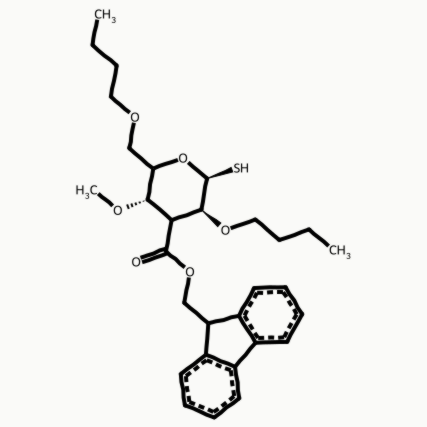 CCCCOCC1O[C@@H](S)[C@@H](OCCCC)C(C(=O)OCC2c3ccccc3-c3ccccc32)[C@@H]1OC